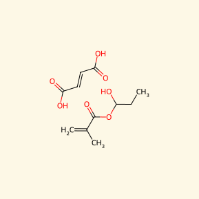 C=C(C)C(=O)OC(O)CC.O=C(O)C=CC(=O)O